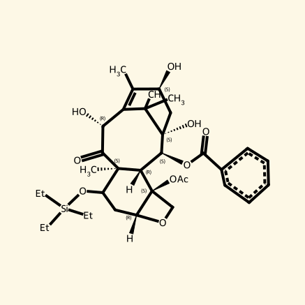 CC[Si](CC)(CC)OC1C[C@H]2OC[C@@]2(OC(C)=O)[C@H]2[C@H](OC(=O)c3ccccc3)[C@]3(O)C[C@H](O)C(C)=C([C@@H](O)C(=O)[C@]12C)C3(C)C